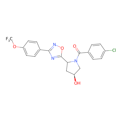 O=C(c1ccc(Cl)cc1)N1C[C@@H](O)CC1c1nc(-c2ccc(OC(F)(F)F)cc2)no1